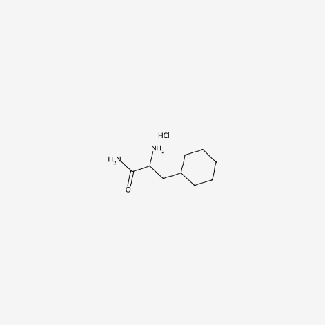 Cl.NC(=O)C(N)CC1CCCCC1